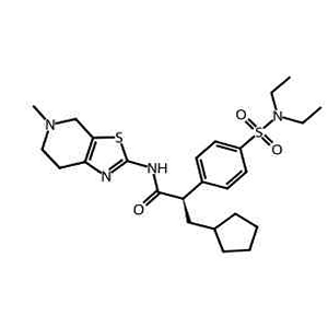 CCN(CC)S(=O)(=O)c1ccc([C@@H](CC2CCCC2)C(=O)Nc2nc3c(s2)CN(C)CC3)cc1